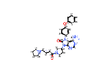 Nc1ncnc2c1n(-c1ccc(Oc3ccccc3)cc1)c(=O)n2C1CCN(C(=O)/C=C/CN2CCCC2)C1